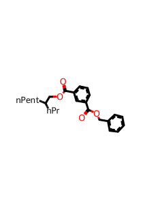 CCCCCC(CCC)COC(=O)c1cccc(C(=O)OCc2ccccc2)c1